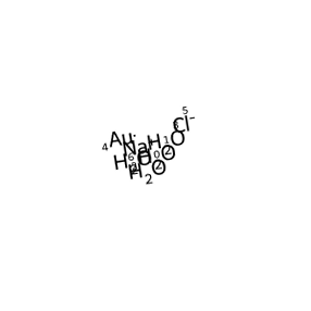 O.O.O.O.[Au].[Cl-].[Na+]